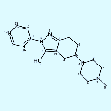 CN1CCN(C2CCc3nn(-c4ccncn4)c(O)c3C2)CC1